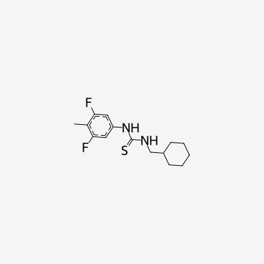 Cc1c(F)cc(NC(=S)NCC2CCCCC2)cc1F